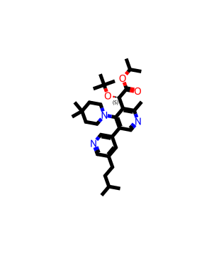 Cc1ncc(-c2cncc(CCC(C)C)c2)c(N2CCC(C)(C)CC2)c1[C@H](OC(C)(C)C)C(=O)OC(C)C